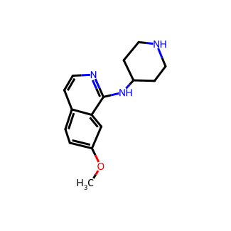 COc1ccc2ccnc(NC3CCNCC3)c2c1